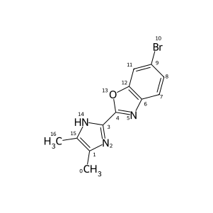 Cc1nc(-c2nc3ccc(Br)cc3o2)[nH]c1C